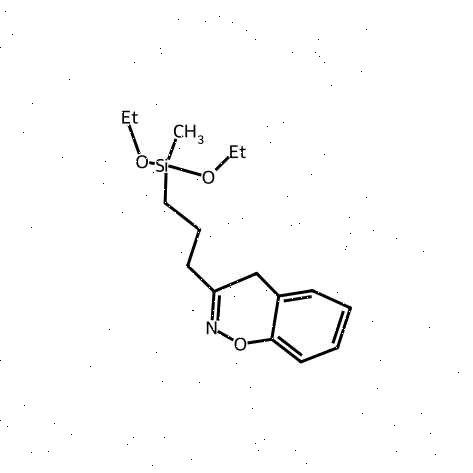 CCO[Si](C)(CCCC1=NOc2ccccc2C1)OCC